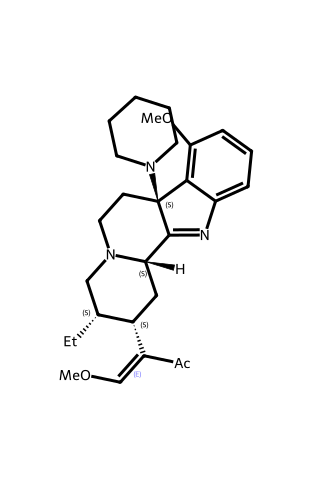 CC[C@@H]1CN2CC[C@@]3(N4CCCCC4)C(=Nc4cccc(OC)c43)[C@@H]2C[C@@H]1/C(=C\OC)C(C)=O